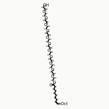 CCCCCCCC/C=C\CCCCCCCC(=O)OCCOCCOCCOCCOCCOCCOCCOCCOCCOCCOCCOCCO